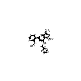 CCOc1ncccc1-c1cc(NCc2nnco2)c2c(n1)c(C)nn2C(C)C